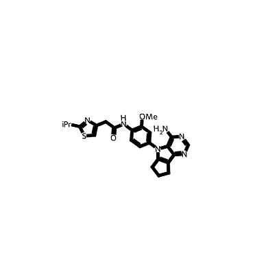 COc1cc(-n2c3c(c4ncnc(N)c42)CCC3)ccc1NC(=O)Cc1csc(C(C)C)n1